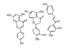 O=C(/C=C/c1ccc(O)cc1)c1ccc(O)cc1O.O=C1C[C@@H](c2ccc(O)c(O)c2)Oc2cc(O)cc(O)c21.O=c1cc(-c2ccc(O)cc2)oc2cc(O)cc(O)c12